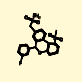 CS(=O)(=O)c1cccc2c1-c1ccc(CS(N)(=O)=O)cc1C(c1cccc(F)c1)O2